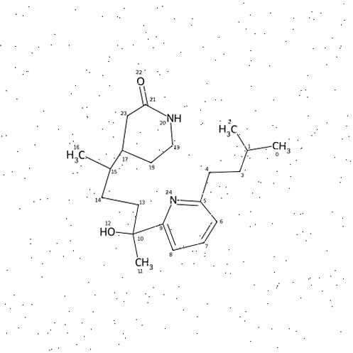 CC(C)CCc1cccc(C(C)(O)CCC(C)C2CCNC(=O)C2)n1